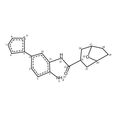 Nc1ccc(-c2cccs2)cc1NC(=O)C1CC2CCC(C1)O2